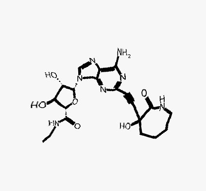 CCNC(=O)[C@H]1O[C@@H](n2cnc3c(N)nc(C#CC4(O)CCCCNC4=O)nc32)[C@@H](O)C1O